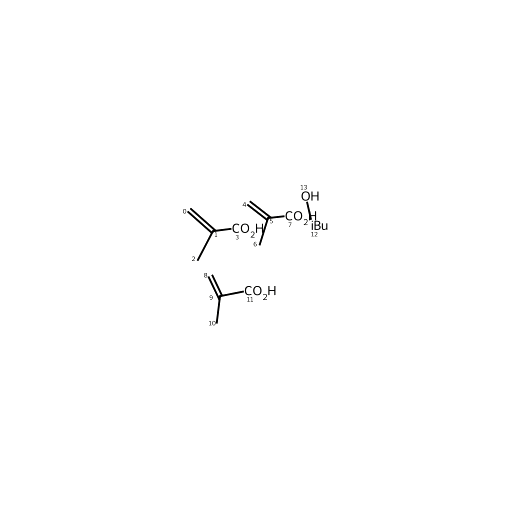 C=C(C)C(=O)O.C=C(C)C(=O)O.C=C(C)C(=O)O.CCC(C)O